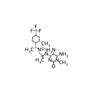 CC(c1ccc(C(F)(F)F)cc1)N1C[C@H](C)N(c2nc(=O)n(C)c(N)c2N)C[C@H]1C